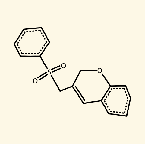 O=S(=O)(CC1=Cc2ccccc2OC1)c1ccccc1